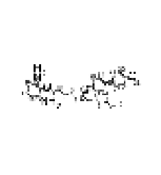 CCCCCCC(CCCCCOc1c(N)cccc1N)Oc1ccc(-c2ccc(OC)cc2)cc1